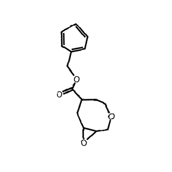 O=C(OCc1ccccc1)C1CCOCC2OC2C1